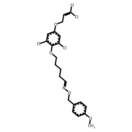 COc1ccc(CON=CCCCCOc2c(Cl)cc(OCC=C(Cl)Cl)cc2Cl)cc1